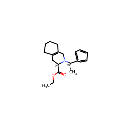 CCOC(=O)[C@H]1CC2=C(CCCC2)CN1[C@@H](C)c1ccccc1